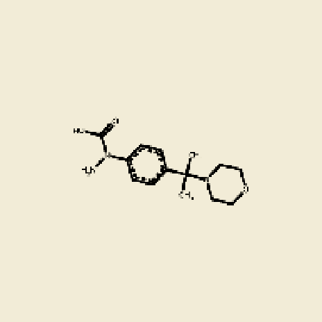 CC(C)(c1ccc(N(N)C(=O)O)cc1)N1CCOCC1